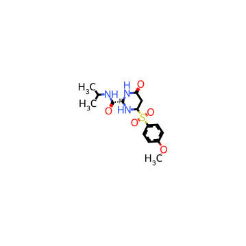 COc1ccc(S(=O)(=O)C2CC(=O)N[C@@H](C(=O)NC(C)C)N2)cc1